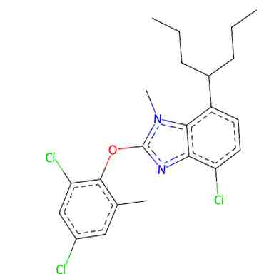 CCCC(CCC)c1ccc(Cl)c2nc(Oc3c(C)cc(Cl)cc3Cl)n(C)c12